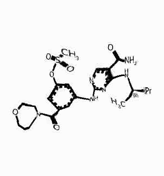 CC(C)[C@@H](C)Nc1nc(Nc2cc(OS(C)(=O)=O)cc(C(=O)N3CCOCC3)c2)ncc1C(N)=O